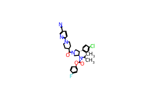 CC(C)N(C(=O)Oc1ccc(F)cc1)[C@H]1CN(C(=O)C2CCN(c3ccc(C#N)cn3)CC2)C[C@@H]1c1ccc(Cl)cc1